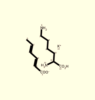 C/C=C/C=C/C(=O)[O-].NCCCCC(N)C(=O)O.[K+]